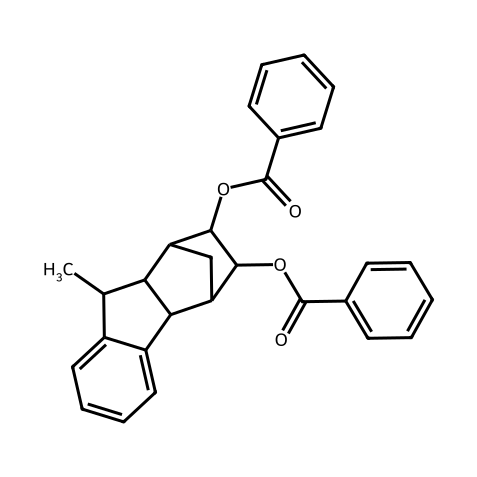 CC1c2ccccc2C2C3CC(C(OC(=O)c4ccccc4)C3OC(=O)c3ccccc3)C12